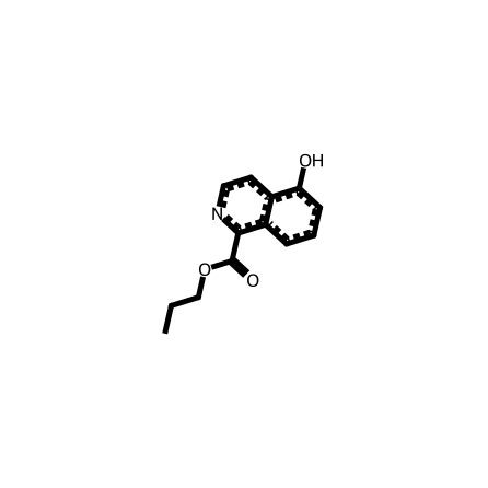 CCCOC(=O)c1nccc2c(O)cccc12